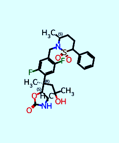 C[C@H]1CCC(c2ccccc2)S(=O)(=O)N1Cc1cc(F)c([C@@](C)(CC(C)(C)O)[C@H]2CNC(=O)O2)cc1F